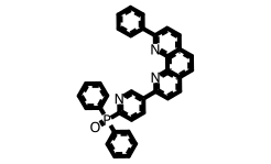 O=P(c1ccccc1)(c1ccccc1)c1ccc(-c2ccc3ccc4ccc(-c5ccccc5)nc4c3n2)cn1